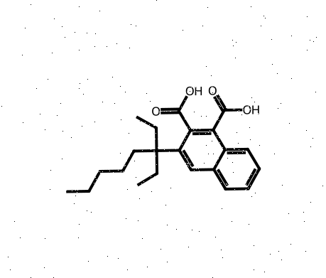 CCCCCC(CC)(CC)c1cc2ccccc2c(C(=O)O)c1C(=O)O